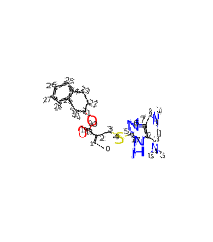 CCC(CSc1nc(CN(C)C)c(CN(C)C)[nH]1)C(=O)OC1CCc2ccccc2C1